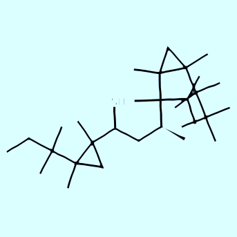 CCC(C)(C)C1(C)CC1(C)C(N)C[C@H](C)C(C)(C(C)C)C1(C)CC1(C)C(C)(C)C(C)(C)C